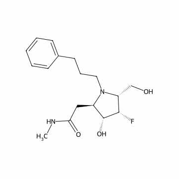 CNC(=O)C[C@@H]1[C@@H](O)[C@@H](F)[C@@H](CO)N1CCCc1ccccc1